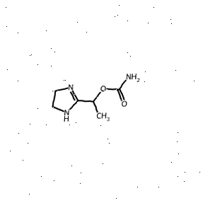 CC(OC(N)=O)C1=N[CH]CN1